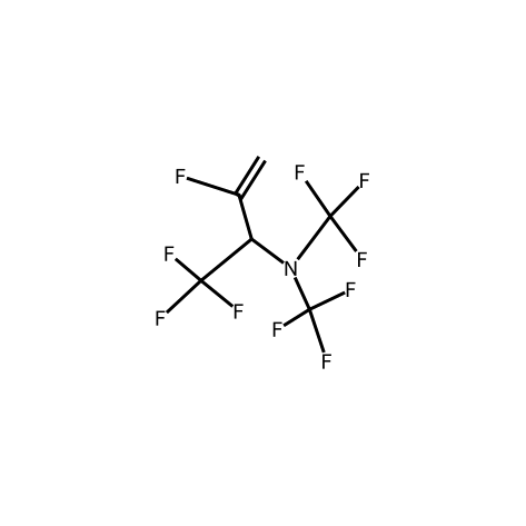 C=C(F)C(N(C(F)(F)F)C(F)(F)F)C(F)(F)F